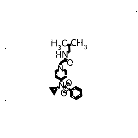 CC(C)CNC(=O)CN1CCC(N(C2CC2)S(=O)(=O)c2ccccc2)CC1